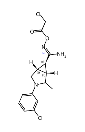 CC1[C@@H]2[C@H](CN1c1cccc(Cl)c1)[C@H]2/C(N)=N/OC(=O)CCl